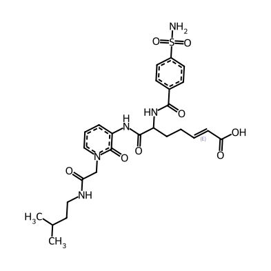 CC(C)CCNC(=O)Cn1cccc(NC(=O)C(CC/C=C/C(=O)O)NC(=O)c2ccc(S(N)(=O)=O)cc2)c1=O